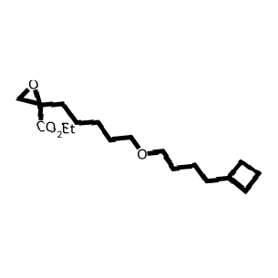 CCOC(=O)C1(CCCCCOCCCCC2CCC2)CO1